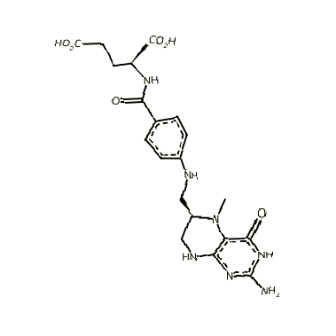 CN1c2c(nc(N)[nH]c2=O)NC[C@H]1CNc1ccc(C(=O)N[C@@H](CCC(=O)O)C(=O)O)cc1